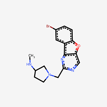 CNC1CCN(Cc2ncc3oc4ccc(Br)cc4c3n2)C1